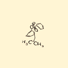 CC(C)Cc1cccc(OS(=O)(=O)c2ccccc2)c1